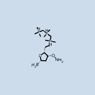 B[C@H]1C[C@@H](ON)[C@@H](CC[PH](C)(C)C[PH](C)(C)C[PH](C)(C)C)O1